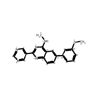 CNc1nc(-c2cncnc2)nc2ccc(-c3cccc(OC)c3)cc12